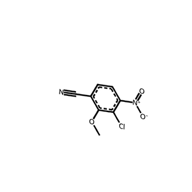 COc1c(C#N)ccc([N+](=O)[O-])c1Cl